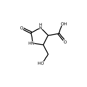 O=C1NC(CO)C(C(=O)O)N1